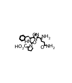 NC(=O)CC[C@H](N)c1noc([C@H](Cc2ccccc2)NC(=O)N2CCC[C@@H]2C(=O)O)n1